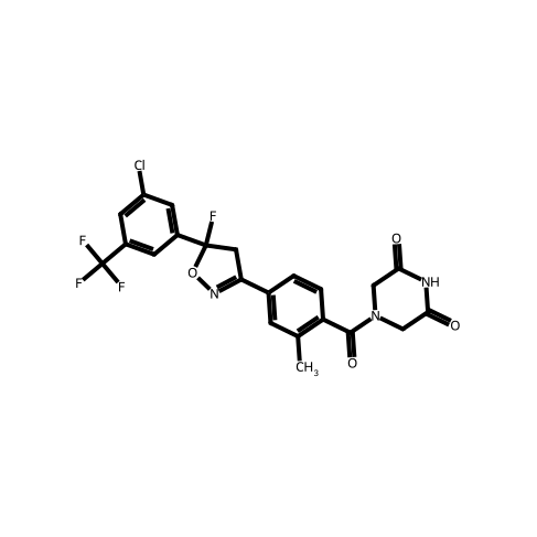 Cc1cc(C2=NOC(F)(c3cc(Cl)cc(C(F)(F)F)c3)C2)ccc1C(=O)N1CC(=O)NC(=O)C1